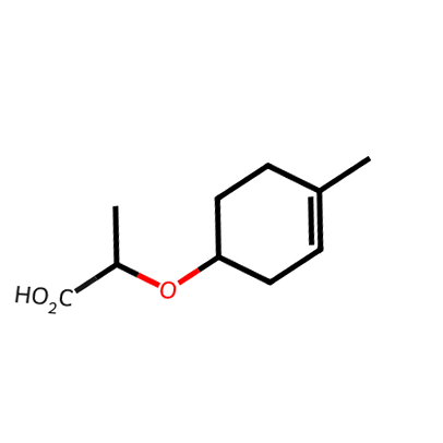 CC1=CCC(OC(C)C(=O)O)CC1